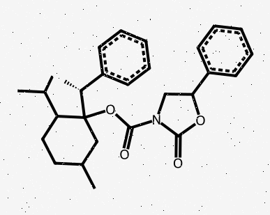 CC1CCC(C(C)C)C(OC(=O)N2CC(c3ccccc3)OC2=O)([C@H](C)c2ccccc2)C1